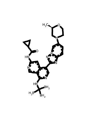 BC(B)(B)Nc1ncc(-c2nc3ccc(N4CCO[C@H](C)C4)cn3n2)c2cc(NC(=O)C3CC3)ncc12